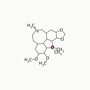 COC1CC2CC[C@@H](C)CC3CC4OCOC4C(OC)C3C2C(OC)C1OC